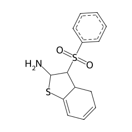 NC1SC2=CC=CCC2C1S(=O)(=O)c1ccccc1